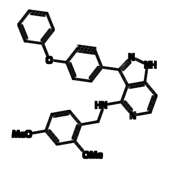 COc1ccc(CNc2nccc3[nH]nc(-c4c#cc(Oc5ccccc5)cc4)c23)c(OC)c1